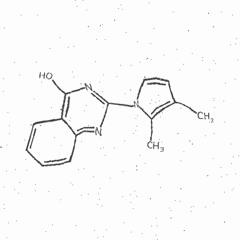 Cc1ccn(-c2nc(O)c3[c]cccc3n2)c1C